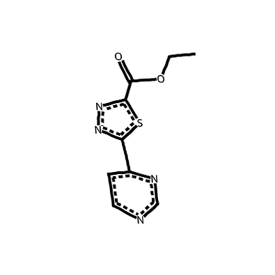 CCOC(=O)c1nnc(-c2ccncn2)s1